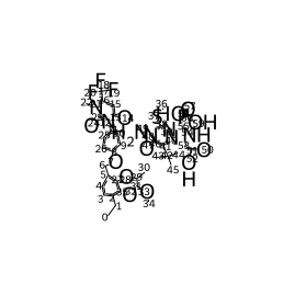 CCc1ccc(COc2ccc(-n3c(=O)cc(C(F)(F)F)n(C)c3=O)cc2)c(OC(C)C(=O)OC)c1.CSc1nnc(C(C)(C)C)c(=O)n1N.O=C(O)CNCP(=O)(O)O